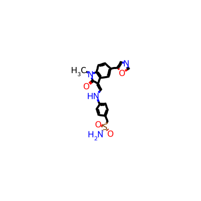 CN1C(=O)/C(=C\Nc2ccc(CS(N)(=O)=O)cc2)c2cc(-c3cnco3)ccc21